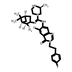 C[C@@H]1C(/N=C(/Nc2cc3ncn(CCc4ccc(F)cc4)c(=O)c3cc2F)N2CCN[C@@H](C)C2)C[C@H]2C[C@@H]1C2(C)C